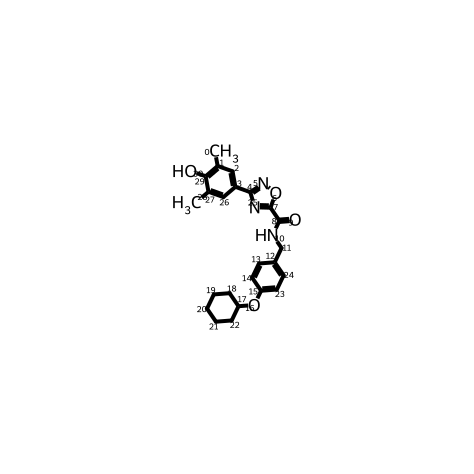 Cc1cc(-c2noc(C(=O)NCc3ccc(OC4CCCCC4)cc3)n2)cc(C)c1O